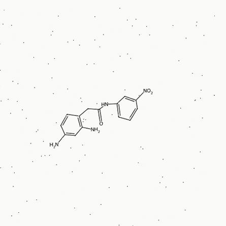 Nc1ccc(CC(=O)Nc2cccc([N+](=O)[O-])c2)c(N)c1